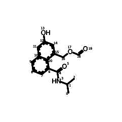 CC(C)NC(=O)c1cccc2cc(O)cc(COC=O)c12